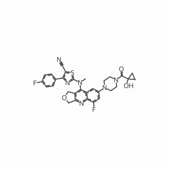 CN(c1nc(-c2ccc(F)cc2)c(C#N)s1)c1c2c(nc3c(F)cc(N4CCN(C(=O)C5(O)CC5)CC4)cc13)COC2